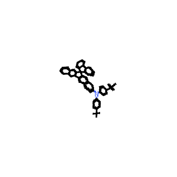 CC(C)(C)c1ccc(N(c2ccc(C(C)(C)C)cc2)c2ccc3cc4c(cc3c2)C2(c3ccccc3-c3ccccc32)c2cc3ccccc3cc2-4)cc1